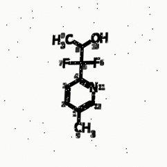 Cc1ccc(C(F)(F)C(C)O)nc1